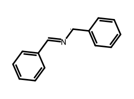 [CH](N=Cc1ccccc1)c1ccccc1